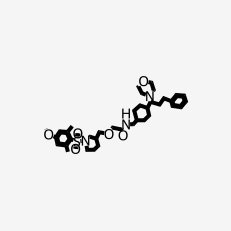 COc1cc(C)c(S(=O)(=O)N2CCCC(COCC(=O)NCC3CCC(C(CCc4ccccc4)N4CCOCC4)CC3)C2)c(C)c1